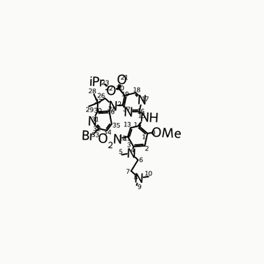 COc1cc(N(C)CCN(C)C)c([N+](=O)[O-])cc1Nc1ncc(C(=O)OC(C)C)c(N2CC(C)(C)c3nc(Br)ccc32)n1